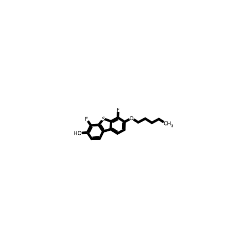 CCCCCOc1ccc2c(sc3c(F)c(O)ccc32)c1F